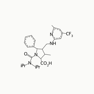 Cc1cc(C(F)(F)F)cc(NCC2C(C)C(C(=O)O)N(C(=O)N(C(C)C)C(C)C)C2c2ccccc2)n1